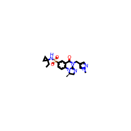 CCC1(NS(=O)(=O)c2ccc3c(c2)C(=O)N(Cc2cnn(C)c2)C2=NC[C@@H](C)N23)CC1